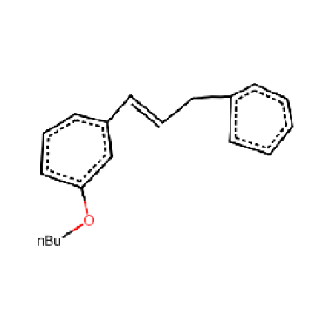 CCCCOc1cccc(C=CCc2ccccc2)c1